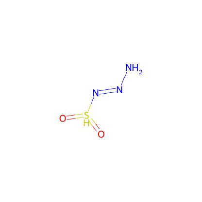 NN=N[SH](=O)=O